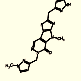 Cn1ccc(Cn2ncc3c4sc(Cc5cc[nH]n5)nc4n(C)c3c2=O)n1